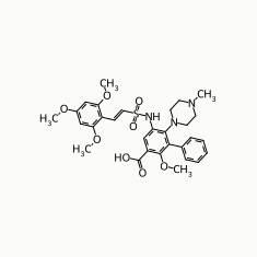 COc1cc(OC)c(C=CS(=O)(=O)Nc2cc(C(=O)O)c(OC)c(-c3ccccc3)c2N2CCN(C)CC2)c(OC)c1